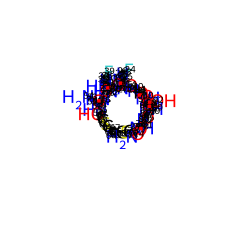 CO[C@H](C)[C@@H]1NC(=O)[C@@H]2CCCN2C(=O)[C@H](Cc2c[nH]c3ccc(F)cc23)NC(=O)[C@H](Cc2c[nH]c3ccc(F)cc23)NC(=O)CNC(=O)[C@H](CCCCN)NC(O)CCSCc2cccc(c2)CSC[C@@H](C(N)=O)NC(=O)[C@]2(C)CCCN2C(=O)[C@H](Cc2ccc(O)cc2)NC1=O